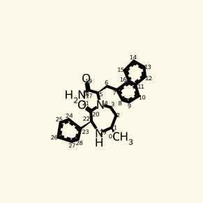 C[C@@H]1CCN([C@H](Cc2cccc3ccccc23)C(N)=O)C(=O)[C@H](c2ccccc2)N1